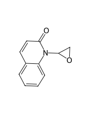 O=c1ccc2ccccc2n1C1CO1